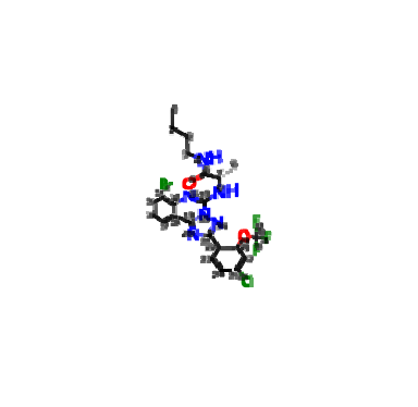 CCCCNC(=O)[C@H](C)Nc1nc2c(Br)cccc2c2nc(-c3ccc(Cl)cc3OC(F)(F)F)nn12